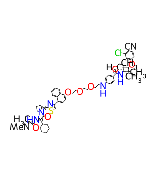 CN[C@@H](C)C(=O)N[C@H](C(=O)N1CCC[C@H]1c1nc(-c2ccc(OCCOCCOCCNc3ccc(C(=O)NC4C(C)(C)C(Oc5ccc(C#N)c(Cl)c5)C4(C)C)cc3)c3ccccc23)cs1)C1CCCCC1